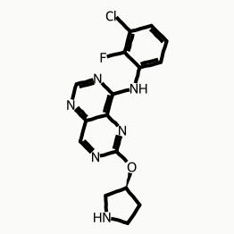 Fc1c(Cl)cccc1Nc1ncnc2cnc(O[C@H]3CCNC3)nc12